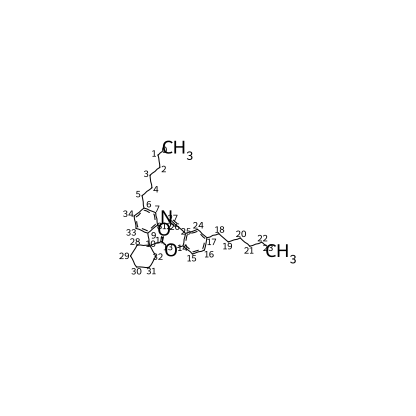 CCCCCCc1ccc(C2(C(=O)Oc3ccc(CCCCCC)cc3C#N)CCCCC2)cc1